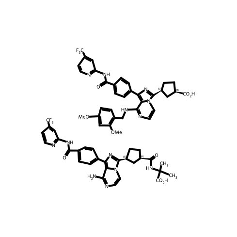 CC(C)(NC(=O)[C@@H]1CC[C@H](c2nc(-c3ccc(C(=O)Nc4cc(C(F)(F)F)ccn4)cc3)c3c(N)nccn23)C1)C(=O)O.COc1ccc(CNc2nccn3c([C@H]4CC[C@@H](C(=O)O)C4)nc(-c4ccc(C(=O)Nc5cc(C(F)(F)F)ccn5)cc4)c23)c(OC)c1